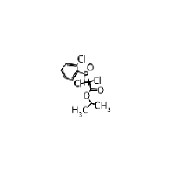 CC(C)OC(=O)C(Cl)(Cl)[PH](=O)c1ccccc1Cl